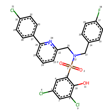 O=S(=O)(c1cc(Cl)cc(Cl)c1O)N(Cc1ccc(F)cc1)Cc1cccc(-c2ccc(Cl)cc2)n1